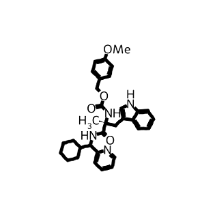 COc1ccc(COC(=O)N[C@@](C)(Cc2c[nH]c3ccccc23)C(=O)NC(c2ccccn2)C2CCCCC2)cc1